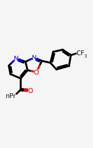 CCCC(=O)c1ccnc2nc(-c3ccc(C(F)(F)F)cc3)oc12